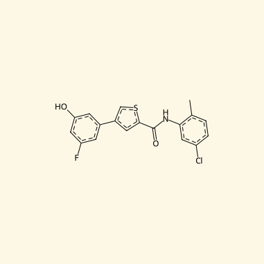 Cc1ccc(Cl)cc1NC(=O)c1cc(-c2cc(O)cc(F)c2)cs1